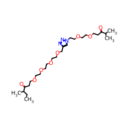 CCC(C)C(=O)CCOCCOCCOCCOCc1cn(CCOCCOCCC(=O)C(C)C)nn1